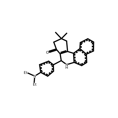 CCN(CC)c1ccc(C2Nc3ccc4ccccc4c3C3=C2C(=O)CC(C)(C)C3)cc1